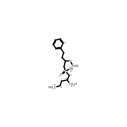 O=COC(CCc1ccccc1)CP(=O)(O)CC(CCC(=O)O)C(=O)O